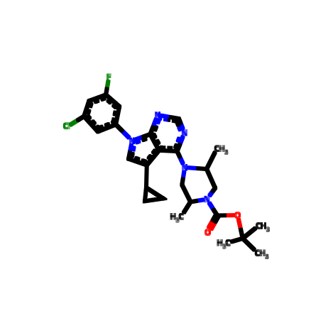 CC1CN(c2ncnc3c2c(C2CC2)cn3-c2cc(F)cc(Cl)c2)C(C)CN1C(=O)OC(C)(C)C